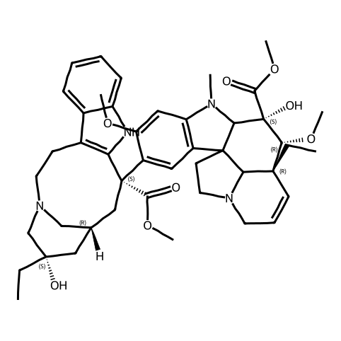 CC[C@]1(O)C[C@@H]2CN(CCc3c([nH]c4ccccc34)[C@@](C(=O)OC)(c3cc4c(cc3OC)N(C)C3C45CCN4CC=C[C@](CC)(C45)[C@@H](OC)[C@]3(O)C(=O)OC)C2)C1